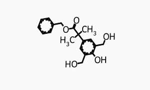 CC(C)(C(=O)OCc1ccccc1)c1cc(CO)c(O)c(CO)c1